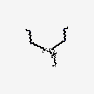 CC/C=C\CCCC/C=C\CCCCCCCC(=O)OC[C@H](COP(=O)(OC)OCCCCN(C)C)OC(=O)CCCCCCC/C=C\CCCC/C=C\CC